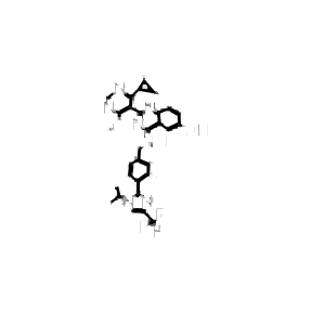 COc1ncnc(C2CC2)c1-c1nc(NCc2ccc(-c3nc(C(F)(F)F)cn3C(C)C)cc2)c2cc(O)ccc2n1